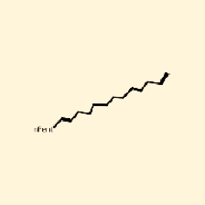 [CH]=CCCCCCCCCCC=CCCCCC